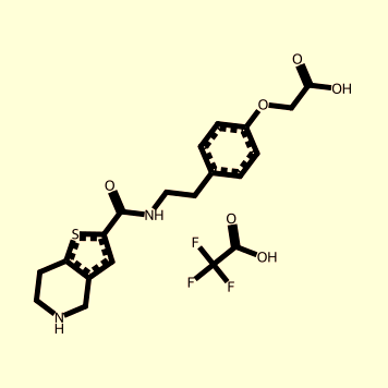 O=C(O)C(F)(F)F.O=C(O)COc1ccc(CCNC(=O)c2cc3c(s2)CCNC3)cc1